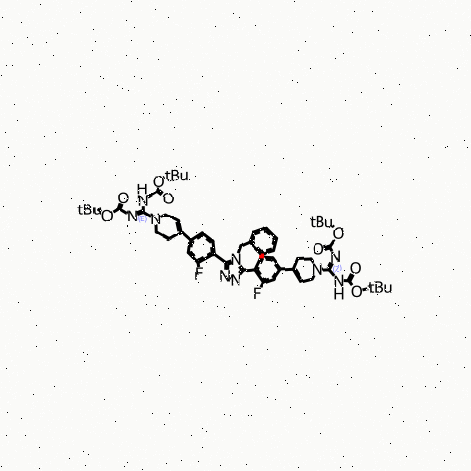 CC(C)(C)OC(=O)/N=C(/NC(=O)OC(C)(C)C)N1CC=C(c2ccc(-c3nnc(-c4ccc(C5=CCN(/C(=N/C(=O)OC(C)(C)C)NC(=O)OC(C)(C)C)CC5)cc4F)n3Cc3ccccc3)c(F)c2)CC1